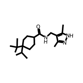 Cc1n[nH]c(C)c1CNC(=O)C1CCC(C(C)C)(C(C)(C)C)CC1